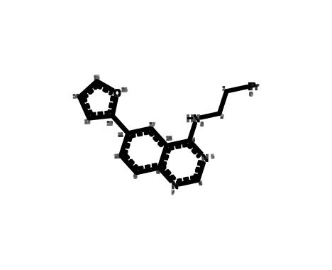 CC(C)CCNc1ncnc2ccc(-c3ccco3)cc12